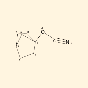 N#COC12CCC(CC1)C2